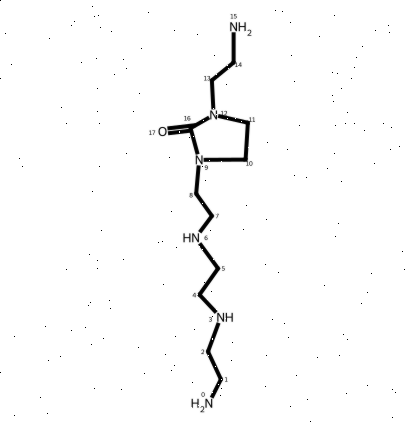 NCCNCCNCCN1CCN(CCN)C1=O